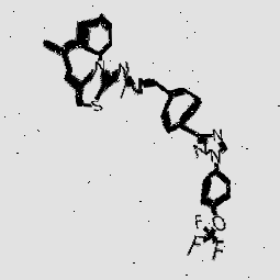 CC1Cc2cs/c(=N\N=C\c3ccc(-c4ncn(-c5ccc(OC(F)(F)F)cc5)n4)cc3)n2-c2ccccc21